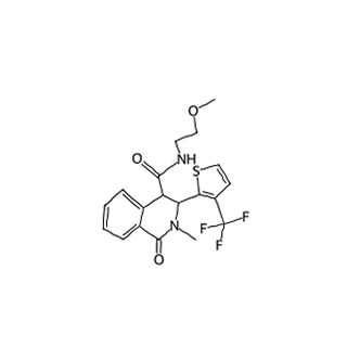 COCCNC(=O)C1c2ccccc2C(=O)N(C)C1c1sccc1C(F)(F)F